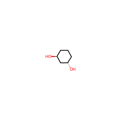 O[C@H]1CCC[C@H](O)C1